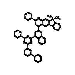 CC1(C)c2ccccc2-c2cc3c(-c4cc(-c5nc(-c6ccccc6)nc(-c6cccc(-c7ccccc7)c6)n5)c5ccccc5c4)cc(-c4ccccc4)nc3cc21